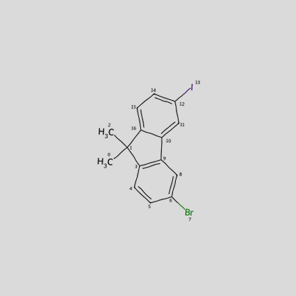 CC1(C)c2ccc(Br)cc2-c2cc(I)ccc21